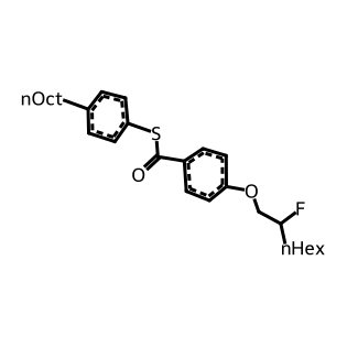 CCCCCCCCc1ccc(SC(=O)c2ccc(OCC(F)CCCCCC)cc2)cc1